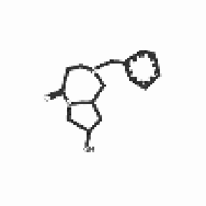 O=C1CCN(Cc2ccccc2)CC2CC(O)CN12